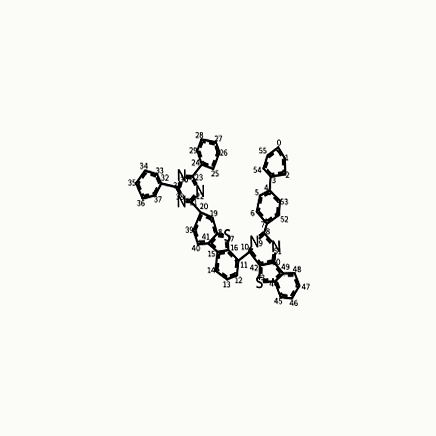 c1ccc(-c2ccc(-c3nc(-c4cccc5c4sc4cc(-c6nc(-c7ccccc7)nc(-c7ccccc7)n6)ccc45)c4sc5ccccc5c4n3)cc2)cc1